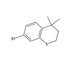 CCc1ccc2c(c1)SCCC2(C)C